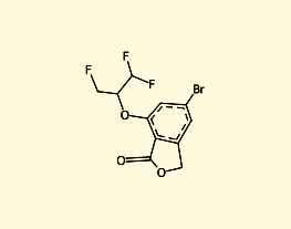 O=C1OCc2cc(Br)cc(OC(CF)C(F)F)c21